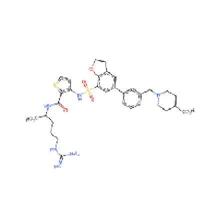 N=C(N)NCCCC(NC(=O)c1sccc1NS(=O)(=O)c1cc(-c2cccc(CN3CCC(C(=O)O)CC3)c2)cc2c1OCC2)C(=O)O